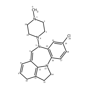 CN1CCN(N2C=C3C=CCC4=C3N(CC4)c3ccc(Cl)cc32)CC1